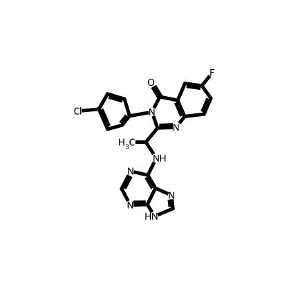 CC(Nc1ncnc2[nH]cnc12)c1nc2ccc(F)cc2c(=O)n1-c1ccc(Cl)cc1